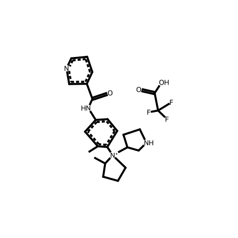 Cc1cc(NC(=O)c2cccnc2)ccc1[N+]1(C2CCNC2)CCCC1C.O=C(O)C(F)(F)F